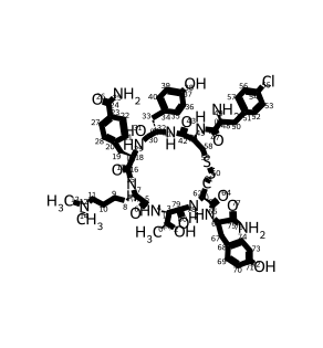 C[C@@H](O)[C@@H]1NC(=O)[C@H](CCCCN(C)C)NC(=O)[C@@H](Cc2ccc(C(N)=O)cc2)NC(O)[C@H](Cc2ccc(O)cc2)NC(=O)[C@H](NC(=O)[C@@H](N)Cc2ccc(Cl)cc2)CSSC[C@@H](C(=O)NC(Cc2ccc(O)cc2)C(N)=O)NC1=O